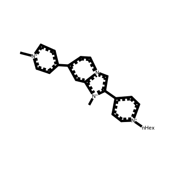 CCCCCC[n+]1ccc(-c2cn3ccc(-c4cc[n+](C)cc4)cc3[n+]2C)cc1